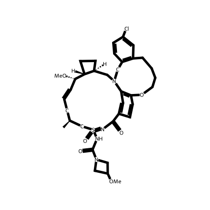 COC1CN(C(=O)NS2(=O)=NC(=O)c3ccc4c(c3)N(Cc3ccc(Cl)cc3CCCCO4)C[C@@H]3CC[C@H]3[C@@H](OC)/C=C/C[C@H](C)C2)C1